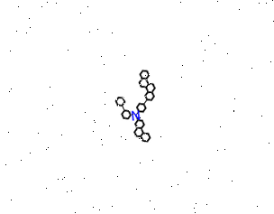 c1ccc(-c2cccc(N(c3ccc(-c4ccc5ccc6c7ccccc7ccc6c5c4)cc3)c3ccc4c(ccc5ccccc54)c3)c2)cc1